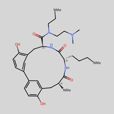 CNCCC[C@@H]1NC(=O)[C@@H](NC)Cc2cc(ccc2O)-c2ccc(O)c(c2)C[C@@H](C(=O)N(CCNC)CCN(C)C)NC1=O